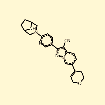 N#Cc1c(-c2ccc(N3CC4CCC(C3)N4)nc2)nn2cc(C3=CCOCC3)ccc12